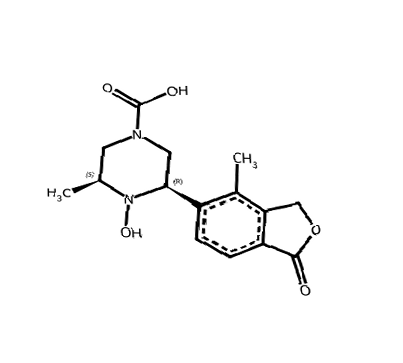 Cc1c([C@@H]2CN(C(=O)O)C[C@H](C)N2O)ccc2c1COC2=O